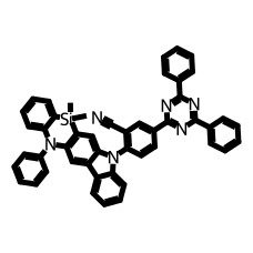 C[Si]1(C)c2ccccc2N(c2ccccc2)c2cc3c4ccccc4n(-c4ccc(-c5nc(-c6ccccc6)nc(-c6ccccc6)n5)cc4C#N)c3cc21